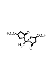 CC(N1CC(C(=O)O)CC1=O)N1CC(C(=O)O)CC1=O